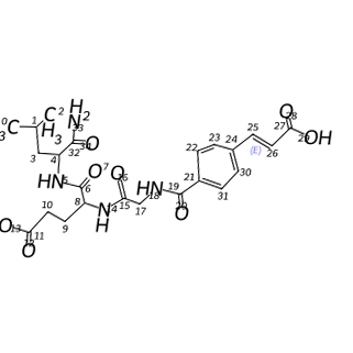 CC(C)CC(NC(=O)C(CCC(=O)O)NC(=O)CNC(=O)c1ccc(/C=C/C(=O)O)cc1)C(N)=O